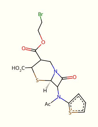 CC(=O)N(c1cccs1)C1C(=O)N2CC(C(=O)OCCBr)C(C(=O)O)S[C@H]12